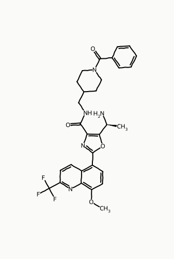 COc1ccc(-c2nc(C(=O)NCC3CCN(C(=O)c4ccccc4)CC3)c([C@H](C)N)o2)c2ccc(C(F)(F)F)nc12